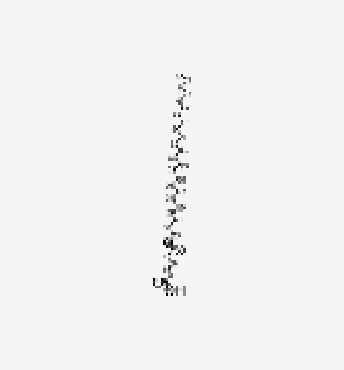 CCCCCCCCCCCCCCCCCCCCCCCCOC(=O)CCCCC(=O)O